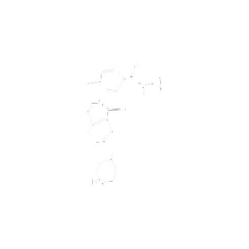 Cc1ccc(C(=O)NC2CC2)cc1-n1ccc2ccc(OC3CCNCC3)cc2c1=O